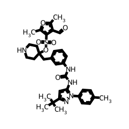 Cc1ccc(-n2nc(C(C)(C)C)cc2NC(=O)Nc2cccc(CC3(OS(=O)(=O)c4c(C)oc(C)c4C=O)CCNCC3)c2)cc1